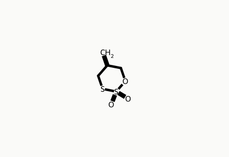 C=C1COS(=O)(=O)SC1